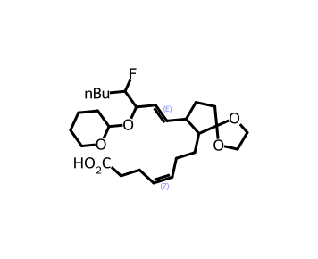 CCCCC(F)C(/C=C/C1CCC2(OCCO2)C1CC/C=C\CCC(=O)O)OC1CCCCO1